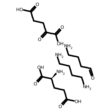 NCCCC=O.NCCCCN.N[C@@H](CCC(=O)O)C(=O)O.O=C(O)CCC(=O)C(=O)O